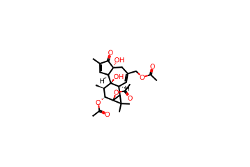 CC(=O)OCC1=C[C@H]2C3C(C)(C)[C@]3(OC(C)=O)[C@H](OC(C)=O)[C@@H](C)[C@]2(O)[C@H]2C=C(C)C(=O)[C@@]2(O)C1